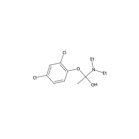 CCN(CC)C(C)(O)Oc1ccc(Cl)cc1Cl